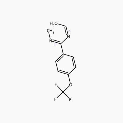 C/C=N\C(=N/C)c1ccc(OC(F)(F)F)cc1